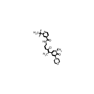 C/C(=C(Cl)\C=C/CNC(=O)c1ccnc(C(C)(F)F)c1)c1cc(N2CCOCC2)c(=O)n(C)c1